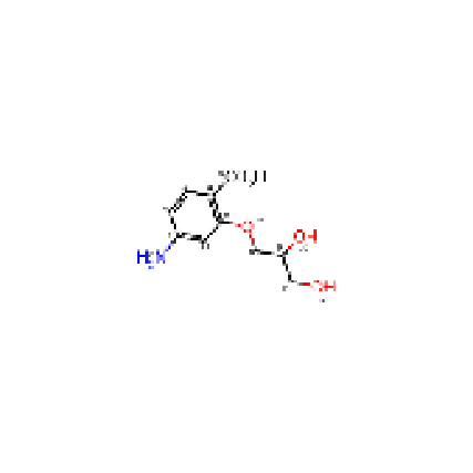 Nc1ccc(C(=O)O)c(OCC(O)CO)c1